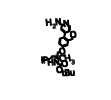 CC(C)C[C@@](C)(COc1ccc2c(c1)COc1cnc(N)cc1-2)NC(=O)OC(C)(C)C